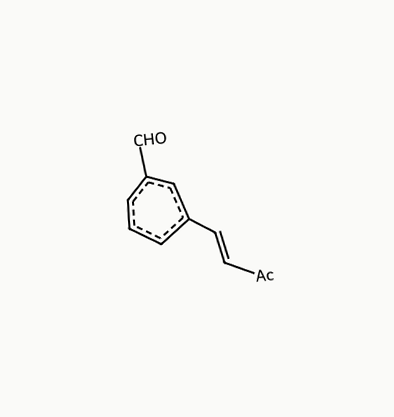 CC(=O)/C=C/c1cccc(C=O)c1